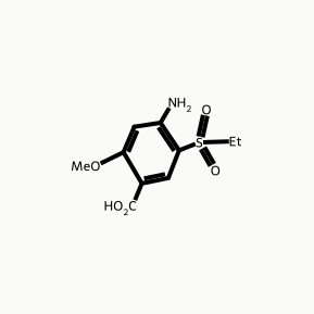 CCS(=O)(=O)c1cc(C(=O)O)c(OC)cc1N